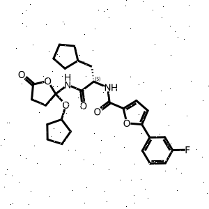 O=C1CCC(NC(=O)[C@H](CC2CCCC2)NC(=O)c2ccc(-c3cccc(F)c3)o2)(OC2CCCC2)O1